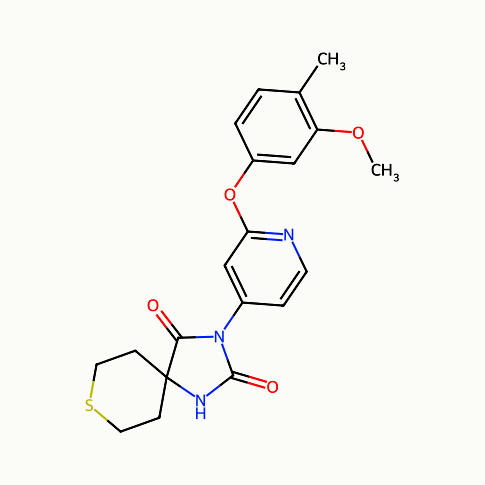 COc1cc(Oc2cc(N3C(=O)NC4(CCSCC4)C3=O)ccn2)ccc1C